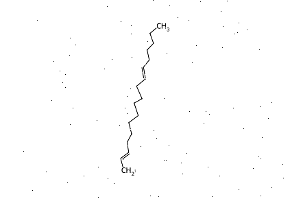 [CH2]C=CCCCCCCCC=CCCCCC